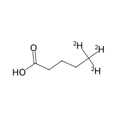 [2H]C([2H])([2H])CCCC(=O)O